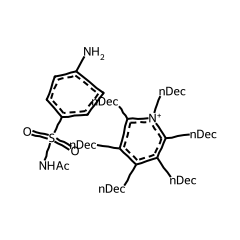 CC(=O)NS(=O)(=O)c1ccc(N)cc1.CCCCCCCCCCc1c(CCCCCCCCCC)c(CCCCCCCCCC)[n+](CCCCCCCCCC)c(CCCCCCCCCC)c1CCCCCCCCCC